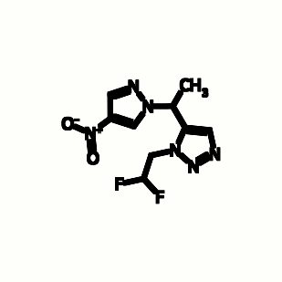 CC(c1cnnn1CC(F)F)n1cc([N+](=O)[O-])cn1